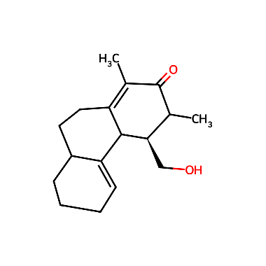 CC1=C2CCC3CCCC=C3C2[C@H](CO)C(C)C1=O